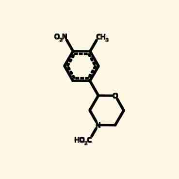 Cc1cc(C2CN(C(=O)O)CCO2)ccc1[N+](=O)[O-]